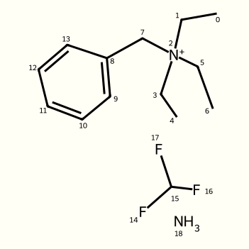 CC[N+](CC)(CC)Cc1ccccc1.FC(F)F.N